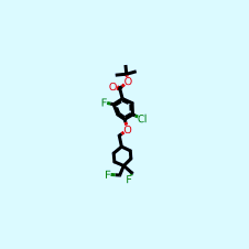 CC(C)(C)OC(=O)c1cc(Cl)c(OCC2CCC(CF)(CF)CC2)cc1F